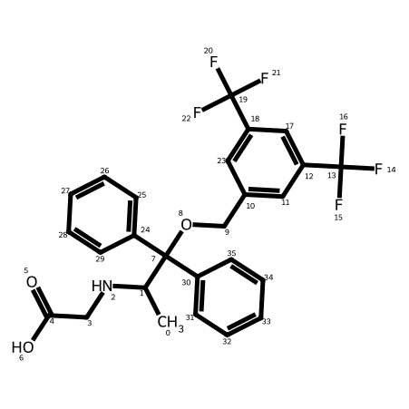 CC(NCC(=O)O)C(OCc1cc(C(F)(F)F)cc(C(F)(F)F)c1)(c1ccccc1)c1ccccc1